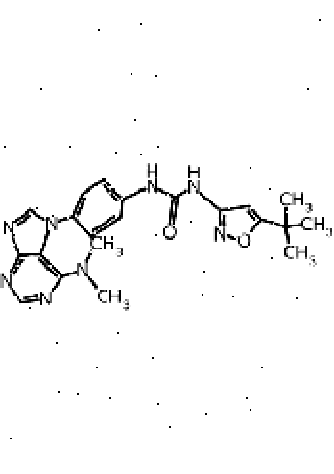 CN(C)c1ncnc2ncn(-c3ccc(NC(=O)Nc4cc(C(C)(C)C)on4)cc3)c12